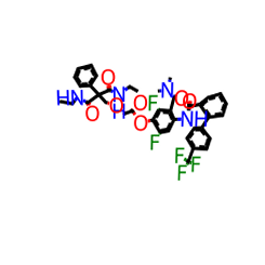 CCNC(=O)C(COCC(=O)Oc1c(F)cc(NC(=O)c2ccccc2-c2ccc(C(F)(F)F)cc2)c(C(=O)N(C)C)c1F)(C(=O)NCC)c1ccccc1